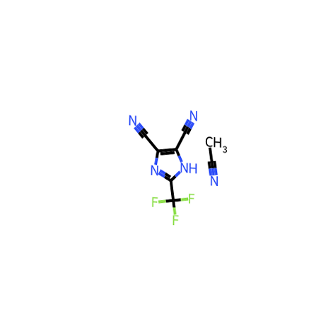 CC#N.N#Cc1nc(C(F)(F)F)[nH]c1C#N